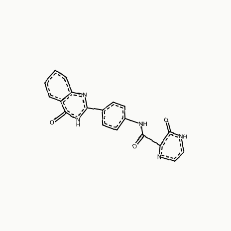 O=C(Nc1ccc(-c2nc3ccccc3c(=O)[nH]2)cc1)c1ncc[nH]c1=O